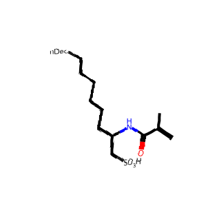 C=C(C)C(=O)NC(CCCCCCCCCCCCCCCC)CS(=O)(=O)O